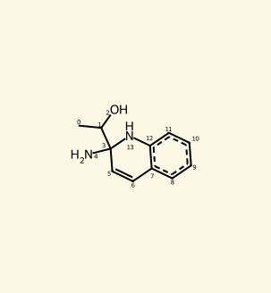 CC(O)C1(N)C=Cc2ccccc2N1